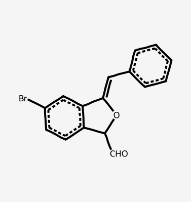 O=CC1OC(=Cc2ccccc2)c2cc(Br)ccc21